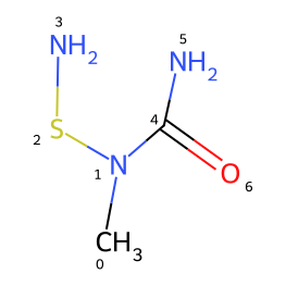 CN(SN)C(N)=O